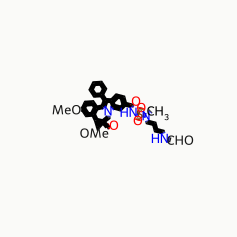 COC(=O)C12CC1c1cc(OC)ccc1-c1c(C3CCCCC3)c3ccc(C(=O)NS(=O)(=O)N(C)CCCCNC=O)cc3n1C2